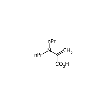 C=C(C(=O)O)N(CCC)CCC